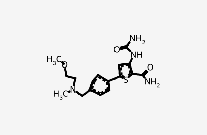 COCCN(C)Cc1ccc(-c2cc(NC(N)=O)c(C(N)=O)s2)cc1